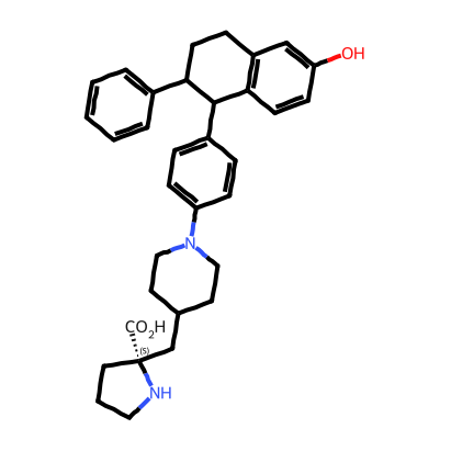 O=C(O)[C@@]1(CC2CCN(c3ccc(C4c5ccc(O)cc5CCC4c4ccccc4)cc3)CC2)CCCN1